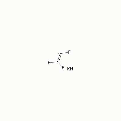 F[C]=C(F)F.[KH]